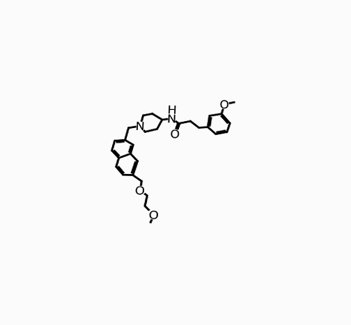 COCCOCc1ccc2ccc(CN3CCC(NC(=O)CCc4cccc(OC)c4)CC3)cc2c1